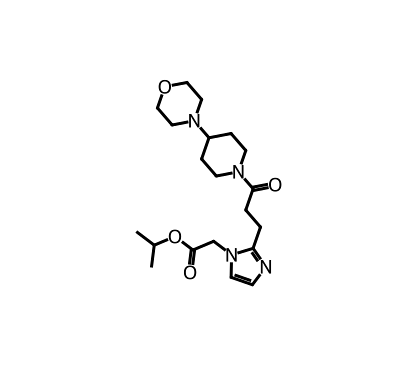 CC(C)OC(=O)Cn1ccnc1CCC(=O)N1CCC(N2CCOCC2)CC1